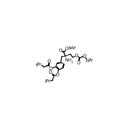 CCCOC(=O)OCC[C@@](N)(Cc1ccc(OC(=O)CC(C)C)c(OC(=O)CC(C)C)c1)C(=O)OC